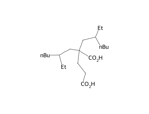 CCCCC(CC)CC(CCC(=O)O)(CC(CC)CCCC)C(=O)O